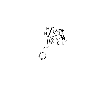 CC(C)(C)C(OCCOCc1ccccc1)(C(=O)O)C(C)(C)C